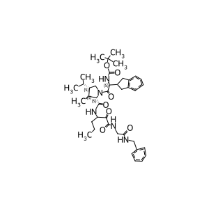 CCCC(NC(=O)[C@@H]1[C@@H](C)[C@H](C(C)C)CN1C(=O)[C@@H](NC(=O)OC(C)(C)C)C1Cc2ccccc2C1)C(=O)C(=O)NCC(=O)NCc1ccccc1